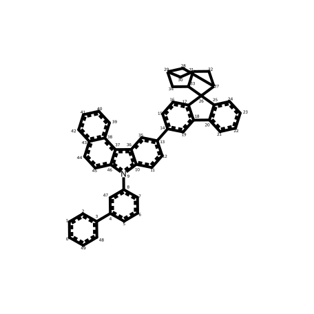 c1ccc(-c2cccc(-n3c4ccc(-c5ccc6c(c5)-c5ccccc5C65C6CC7CC(C6)C5C7)cc4c4c5ccccc5ccc43)c2)cc1